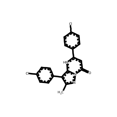 Cc1nn2c(=O)cc(-c3ccc(Cl)cc3)[nH]c2c1-c1ccc(Cl)cc1